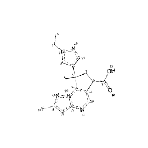 CCn1cc(C2(C)CC(C(=O)O)c3cnc4cc(F)nn4c32)cn1